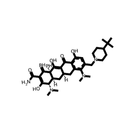 B=C1C(C(N)=O)=C(O)[C@@H](N(C)C)[C@@H]2C[C@@H]3Cc4c(c(O)cc(CN5CCC(C(C)(C)C)CC5)c4N(C)C)C(=O)C3=C(O)[C@]12P